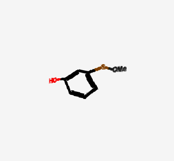 COSc1cccc(O)c1